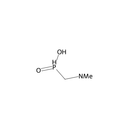 CNC[PH](=O)O